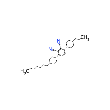 CCCCCCC[C@H]1CC[C@H](c2ccc([C@H]3CC[C@H](CCC)CC3)c(C#N)c2C#N)CC1